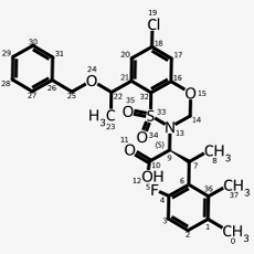 Cc1ccc(F)c(C(C)[C@@H](C(=O)O)N2COc3cc(Cl)cc(C(C)OCc4ccccc4)c3S2(=O)=O)c1C